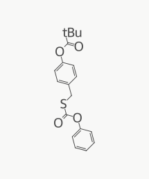 CC(C)(C)C(=O)Oc1ccc(CSC(=O)Oc2ccccc2)cc1